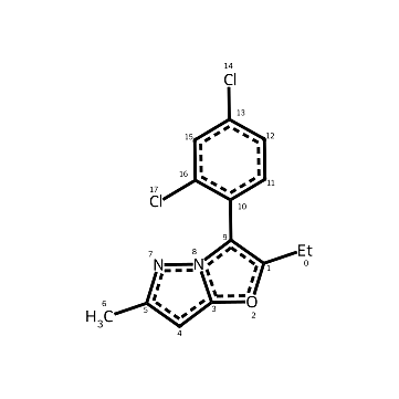 CCc1oc2cc(C)nn2c1-c1ccc(Cl)cc1Cl